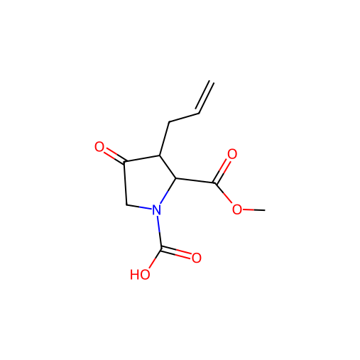 C=CCC1C(=O)CN(C(=O)O)C1C(=O)OC